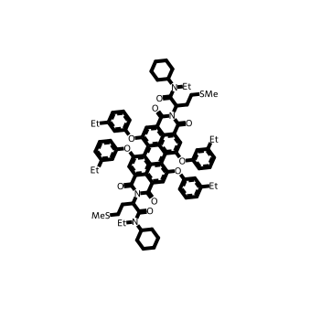 CCc1cccc(Oc2cc3c4c(cc(Oc5cccc(CC)c5)c5c6c(Oc7cccc(CC)c7)cc7c8c(cc(Oc9cccc(CC)c9)c(c2c45)c86)C(=O)N(C(CCSC)C(=O)N(CC)C2CCCCC2)C7=O)C(=O)N(C(CCSC)C(=O)N(CC)C2CCCCC2)C3=O)c1